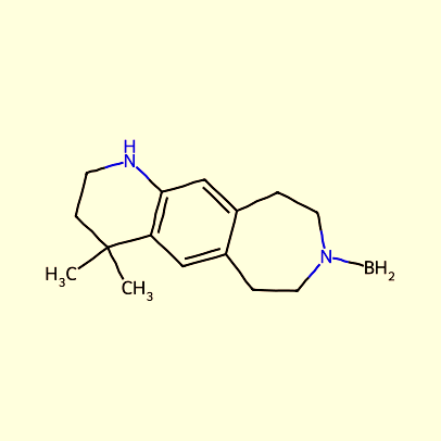 BN1CCc2cc3c(cc2CC1)C(C)(C)CCN3